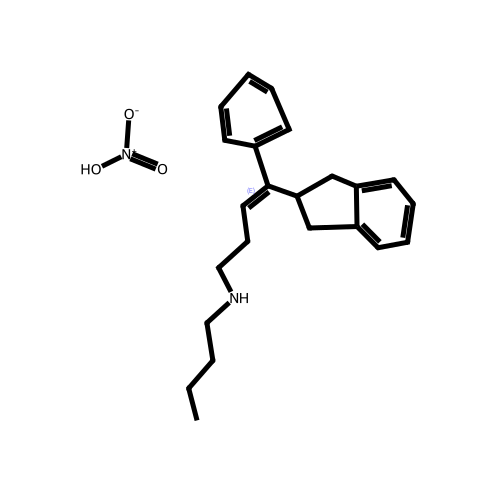 CCCCNCC/C=C(/c1ccccc1)C1Cc2ccccc2C1.O=[N+]([O-])O